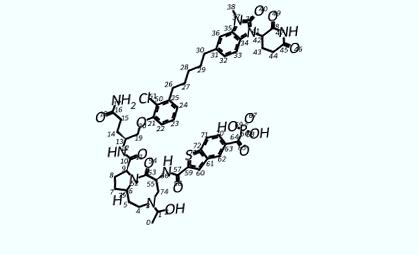 CC(O)N1CC[C@H]2CC[C@@H](C(=O)N[C@@H](CCC(N)=O)COc3cccc(CCCCCc4ccc5c(c4)n(C)c(=O)n5C4CCC(=O)NC4=O)c3Cl)N2C(=O)[C@@H](NC(=O)c2cc3cc(C(=O)P(=O)(O)O)ccc3s2)C1